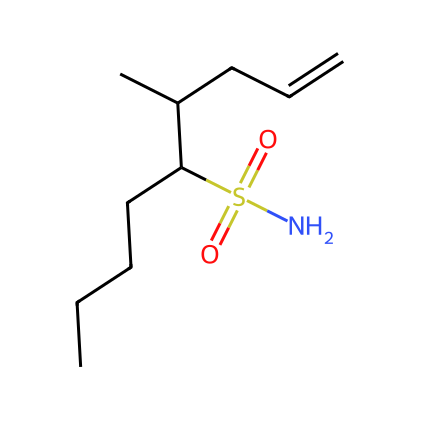 C=CCC(C)C(CCCC)S(N)(=O)=O